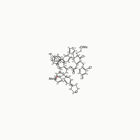 COCCN1C(=O)C(Sc2ccc(F)cc2Cl)=C(OC(=O)OC2=C(Sc3ccc(F)cc3Cl)C(=O)N(CCOC)C(c3ccc(N4CCOCC4)cc3)(c3ccsc3)C2)CC1(c1ccc(N2CCOCC2)cc1)c1ccsc1